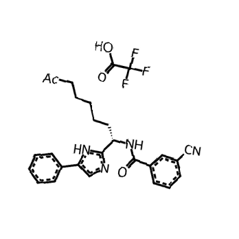 CC(=O)CCCCC[C@H](NC(=O)c1cccc(C#N)c1)c1ncc(-c2ccccc2)[nH]1.O=C(O)C(F)(F)F